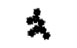 c1ccc(-c2ccc3c(c2)c2cc(-c4ccccc4)ccc2n3-c2cccc(-c3cc(-c4ccccc4)nc(-c4ccccc4)n3)n2)cc1